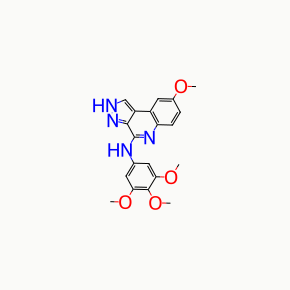 COc1ccc2nc(Nc3cc(OC)c(OC)c(OC)c3)c3n[nH]cc3c2c1